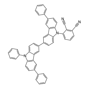 N#Cc1cccc(-n2c3ccc(-c4ccccc4)cc3c3cc(-c4ccc5c(c4)c4cc(-c6ccccc6)ccc4n5-c4ccccc4)ccc32)c1C#N